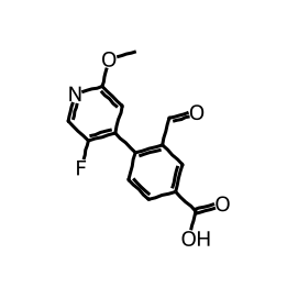 COc1cc(-c2ccc(C(=O)O)cc2C=O)c(F)cn1